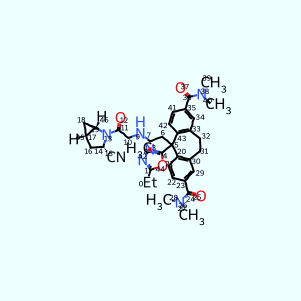 CCc1nnc(C2(C[C@H](C)NCC(=O)N3[C@H](C#N)C[C@@H]4C[C@@H]43)c3ccc(C(=O)N(C)C)cc3CCc3cc(C(=O)N(C)C)ccc32)o1